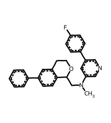 CN(CC1OCCc2cc(-c3ccccc3)ccc21)c1cncc(-c2ccc(F)cc2)c1